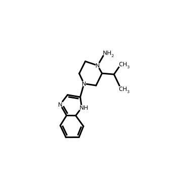 CC(C)C1CN(C2=CN=C3C=CC=CC3N2)CCN1N